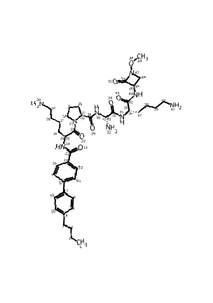 CCCCc1ccc(-c2ccc(C(=O)N[C@@H](CCCCN)C(=O)N3CCC[C@H]3C(=O)N[C@@H](N)C(=O)N[C@@H](CCCCN)C(=O)N[C@@H]3CN(OC)C3=O)cc2)cc1